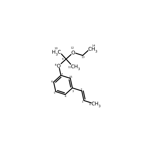 CC=Cc1cccc(OC(C)(C)OCC)c1